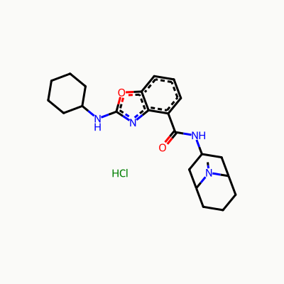 CN1C2CCCC1CC(NC(=O)c1cccc3oc(NC4CCCCC4)nc13)C2.Cl